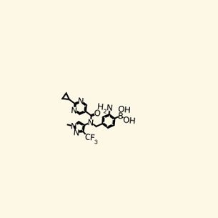 Cn1cc(N(Cc2ccc(B(O)O)c(N)c2)C(=O)c2cnc(C3CC3)nc2)c(C(F)(F)F)n1